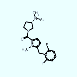 CC(=O)N(C)[C@H]1CCN(C(=O)c2ccc(Cc3c(F)cccc3F)n2C)C1